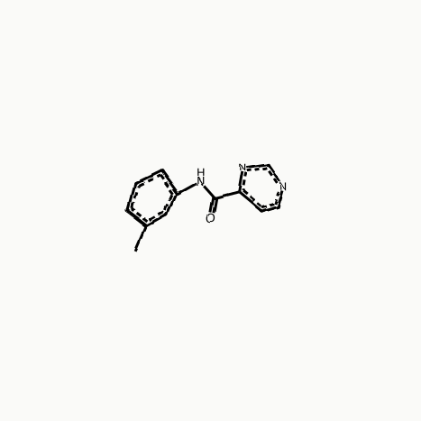 Cc1cccc(NC(=O)c2ccncn2)c1